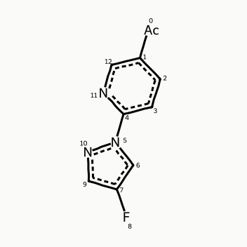 CC(=O)c1ccc(-n2cc(F)cn2)nc1